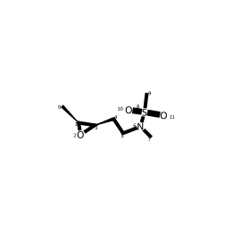 C[C@@H]1O[C@@H]1CCN(C)S(C)(=O)=O